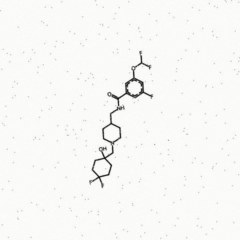 O=C(NCC1CCN(CC2(O)CCC(F)(F)CC2)CC1)c1cc(F)cc(OC(F)F)c1